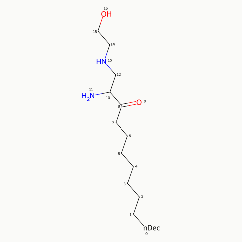 CCCCCCCCCCCCCCCCCC(=O)C(N)CNCCO